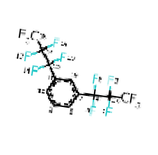 FC(F)(F)C(F)(F)C(F)(F)c1cccc(C(F)(F)C(F)(F)C(F)(F)F)c1